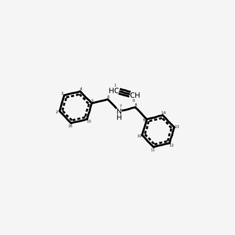 C#C.c1ccc(CNCc2ccccc2)cc1